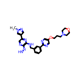 Cn1cc(-c2cnc(N=N)c(NCc3cccc(-c4ncc(OCCCN5CCOCC5)cn4)c3)n2)cn1